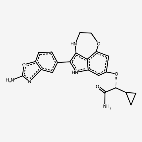 NC(=O)[C@H](Oc1cc2c3c(c(-c4ccc5oc(N)nc5c4)[nH]c3c1)NCCO2)C1CC1